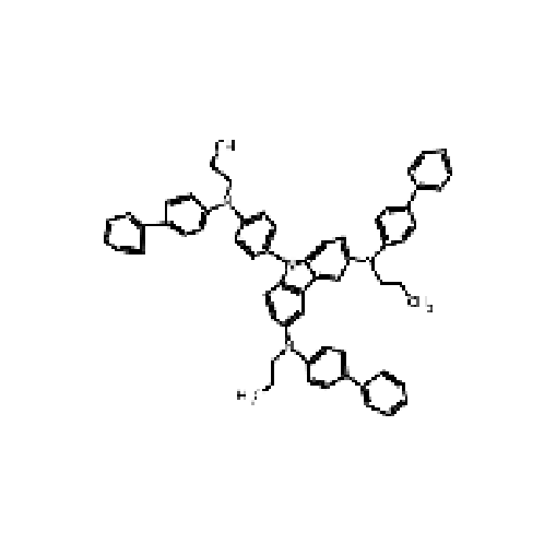 CCCN(c1ccc(-c2ccccc2)cc1)c1ccc(-n2c3ccc(N(CCC)c4ccc(-c5ccccc5)cc4)cc3c3cc(N(CCC)c4ccc(-c5ccccc5)cc4)ccc32)cc1